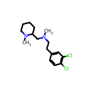 CN(CCc1ccc(Cl)c(Cl)c1)CC1CCCCN1C